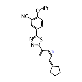 C=C(/C=C\C=C1CCCC1)c1nnc(-c2ccc(OC(C)C)c(C#N)c2)s1